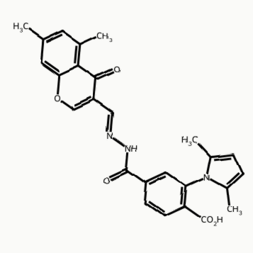 Cc1cc(C)c2c(=O)c(/C=N/NC(=O)c3ccc(C(=O)O)c(-n4c(C)ccc4C)c3)coc2c1